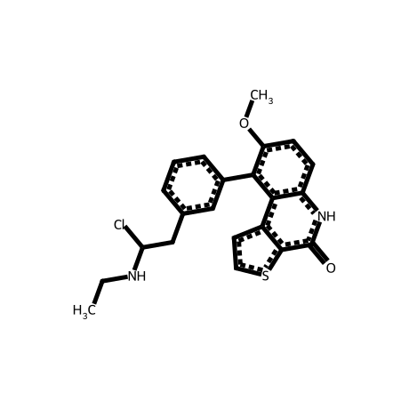 CCNC(Cl)Cc1cccc(-c2c(OC)ccc3[nH]c(=O)c4sccc4c23)c1